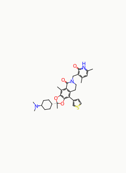 Cc1cc(C)c(CN2CCc3c(c(C)c4c(c3-c3ccsc3)OC(C)([C@H]3CC[C@H](N(C)C)CC3)O4)C2=O)c(=O)[nH]1